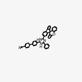 N#CC1=CCC(c2ccc(C3NC(c4ccccc4)=NC(c4ccc5c(c4)C4(C6=CCCC=C6Oc6ccccc64)c4ccccc4-5)N3)cc2)C=C1